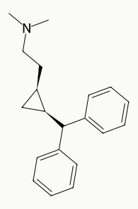 CN(C)CC[C@@H]1C[C@@H]1C(c1ccccc1)c1ccccc1